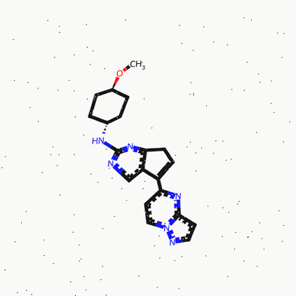 CO[C@H]1CC[C@H](Nc2ncc3c(n2)CC=C3c2ccn3nccc3n2)CC1